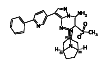 CS(=O)(=O)c1c([C@H]2C[C@H]3CC[C@@H](C2)N3C#N)nc2c(-c3ccc(-c4ccccc4)nc3)cnn2c1N